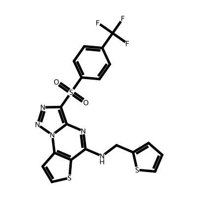 O=S(=O)(c1ccc(C(F)(F)F)cc1)c1nnn2c1nc(NCc1cccs1)c1sccc12